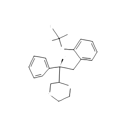 O[C@](Cc1ccccc1OC(F)(F)F)(c1ccccc1)C1CNCCO1